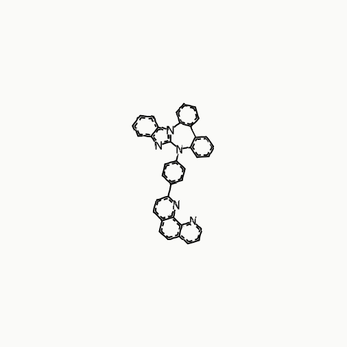 c1ccc2c(c1)-c1ccccc1-n1c(nc3ccccc31)N2c1ccc(-c2ccc3ccc4cccnc4c3n2)cc1